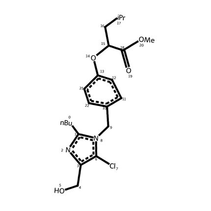 CCCCc1nc(CO)c(Cl)n1Cc1ccc(OC(CC(C)C)C(=O)OC)cc1